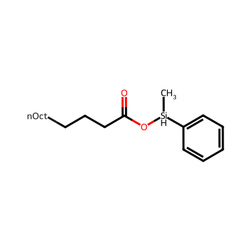 CCCCCCCCCCCC(=O)O[SiH](C)c1ccccc1